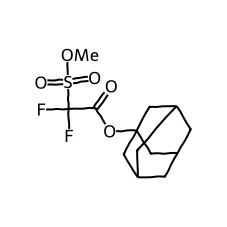 COS(=O)(=O)C(F)(F)C(=O)OC12CC3CC(CC(C3)C1)C2